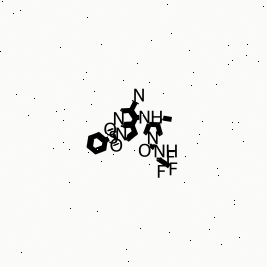 CC[C@@H]1CN(C(=O)NCC(F)(F)F)CC1Nc1c(C#N)cnc2c1ccn2S(=O)(=O)c1ccccc1